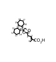 CC(=CCC(=O)O[Si](C)(C1CCCCC1)C1CCCCC1)C(=O)O